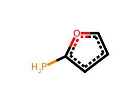 Pc1ccco1